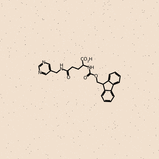 O=C(CCC(NC(=O)OCC1c2ccccc2-c2ccccc21)C(=O)O)NCc1cncnc1